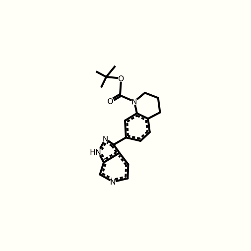 CC(C)(C)OC(=O)N1CCCc2ccc(-c3n[nH]c4cnccc34)cc21